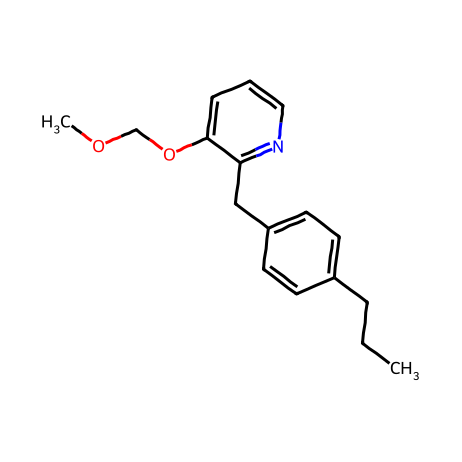 CCCc1ccc(Cc2ncccc2OCOC)cc1